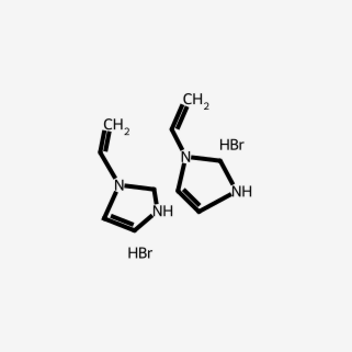 Br.Br.C=CN1C=CNC1.C=CN1C=CNC1